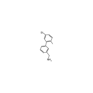 CCc1ccc(C)c(-c2cc[c]c(CN)c2)c1